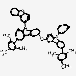 Cc1cc(C)c(-c2ccc3c(c2)c2cc(Oc4ccc5c(c4)c4cc(-c6c(C)cc(C)cc6C)ccc4n5-c4ccc5sc6ccccc6c5c4)ccc2n3-c2ccccc2)c(C)c1